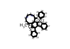 C=C1/C=C\C=C/CC(C)(C)c2c1c1c(c3ccccc3n1-c1ccccc1)c1c2sc2ccccc21